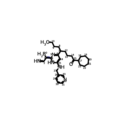 B/C(C=N)=C1\N=C(C(CCCC)CCCC(=O)C2CCCCCC2)C=C(NCc2cccnc2)N1